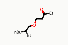 CCCCC(CC)COCCC(=O)CC